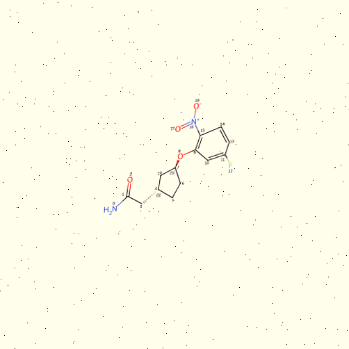 NC(=O)C[C@H]1CC[C@H](Oc2cc(F)ccc2[N+](=O)[O-])C1